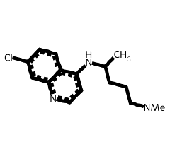 CNCCCC(C)Nc1ccnc2cc(Cl)ccc12